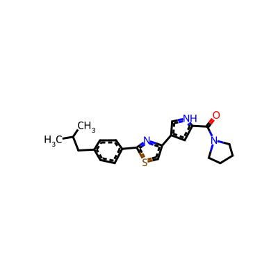 CC(C)Cc1ccc(-c2nc(-c3c[nH]c(C(=O)N4CCCC4)c3)cs2)cc1